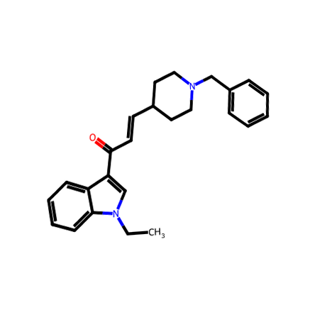 CCn1cc(C(=O)C=CC2CCN(Cc3ccccc3)CC2)c2ccccc21